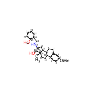 COc1ccc2c(c1)CCC1C2CC[C@@]2(C)C1C[C@H](NCc1ccccc1O)[C@H]2O